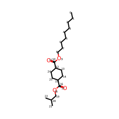 CCCCCCCCCOC(=O)C1CCC(C(=O)OCC(C)C)CC1